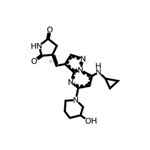 O=C1C/C(=C\c2cnn3c(NC4CC4)cc(N4CCCC(O)C4)nc23)C(=O)N1